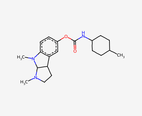 CC1CCC(NC(=O)Oc2ccc3c(c2)C2CCN(C)C2N3C)CC1